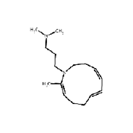 C/C1=C/CC/C=C/C=C\CCN1CCCN(C)C